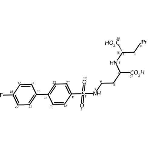 CC(C)C[C@H](NC(CCNS(=O)(=O)c1ccc(-c2ccc(F)cc2)cc1)C(=O)O)C(=O)O